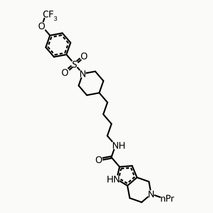 CCCN1CCc2[nH]c(C(=O)NCCCCC3CCN(S(=O)(=O)c4ccc(OC(F)(F)F)cc4)CC3)cc2C1